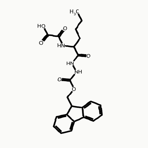 CCCCC(NC(=O)C(=O)O)C(=O)NNC(=O)OCC1c2ccccc2-c2ccccc21